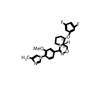 COc1cc(C2=NOC[C@H]3[C@@H](Oc4cc(F)cc(F)c4)CCCN23)ccc1-n1cnc(C)c1